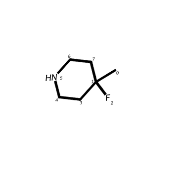 CC1(F)CCNCC1